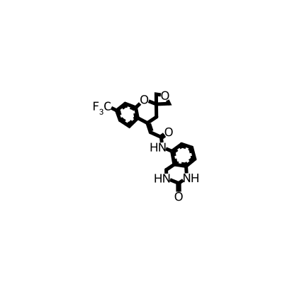 O=C(/C=C1\CC2(COC2)Oc2cc(C(F)(F)F)ccc21)Nc1cccc2c1CNC(=O)N2